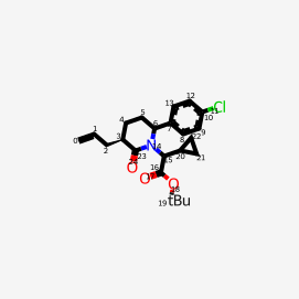 C=CC[C@H]1CCC(c2ccc(Cl)cc2)N(C(C(=O)OC(C)(C)C)C2CC2)C1=O